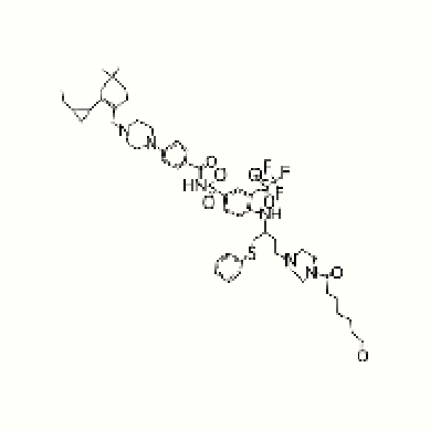 CCC1CC1C1=C(CN2CCN(c3ccc(C(=O)NS(=O)(=O)c4ccc(NC(CCN5CCN(C(=O)CCCCCC=O)CC5)CSc5ccccc5)c(S(=O)(=O)C(F)(F)F)c4)cc3)CC2)CCC(C)(C)C1